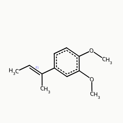 C/C=C(\C)c1ccc(OC)c(OC)c1